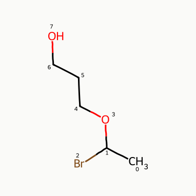 CC(Br)OCCCO